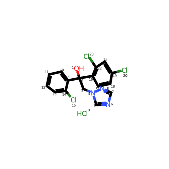 Cl.OC(Cn1cncn1)(c1ccccc1Cl)c1ccc(Cl)cc1Cl